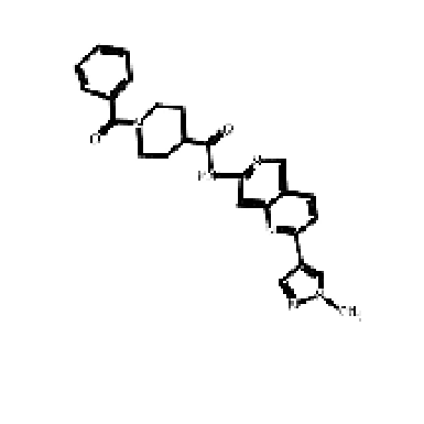 Cn1cc(-c2ccc3cnc(NC(=O)C4CCN(C(=O)c5ccccc5)CC4)cc3n2)cn1